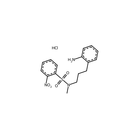 CN(CCCc1ccccc1N)S(=O)(=O)c1ccccc1[N+](=O)[O-].Cl